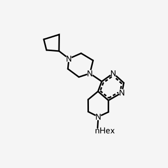 CCCCCCN1CCc2c(ncnc2N2CCN(C3CCC3)CC2)C1